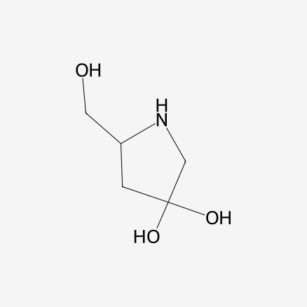 OCC1CC(O)(O)CN1